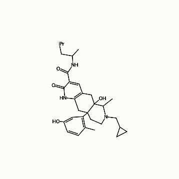 Cc1ccc(O)cc1C12CCN(CC3CC3)C(C)C1(O)Cc1cc(C(=O)NC(C)CC(C)C)c(=O)[nH]c1C2